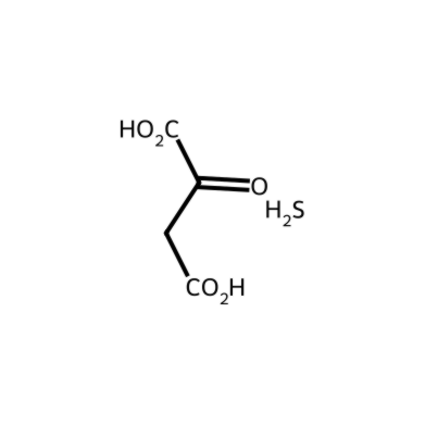 O=C(O)CC(=O)C(=O)O.S